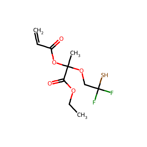 C=CC(=O)OC(C)(OCC(F)(F)S)C(=O)OCC